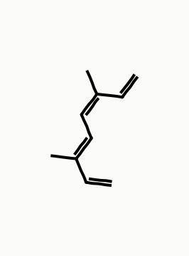 C=CC(C)=CC=C(C)C=C